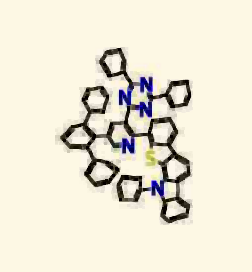 c1ccc(-c2nc(-c3ccccc3)nc(-c3cc(-c4c(-c5ccccc5)cccc4-c4ccccc4)cnc3-c3cccc4c3sc3c4ccc4c5ccccc5n(-c5ccccc5)c43)n2)cc1